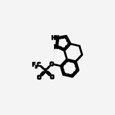 O=S(=O)(Oc1cccc2c1-c1n[nH]cc1CC2)C(F)(F)F